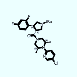 C[C@@H]1CN(C(=O)[C@H]2CN(C(C)(C)C)C[C@@H]2c2ccc(F)cc2F)C[C@H](C)N1c1ccc(Cl)cn1